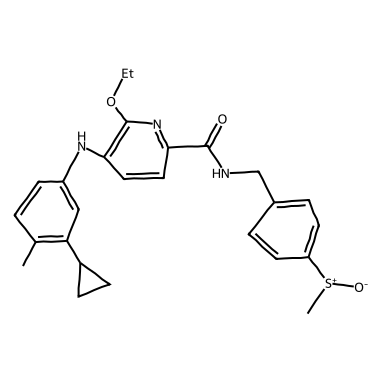 CCOc1nc(C(=O)NCc2ccc([S+](C)[O-])cc2)ccc1Nc1ccc(C)c(C2CC2)c1